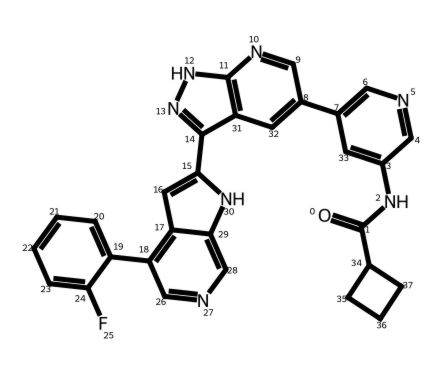 O=C(Nc1cncc(-c2cnc3[nH]nc(-c4cc5c(-c6ccccc6F)cncc5[nH]4)c3c2)c1)C1CCC1